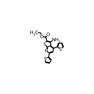 CCOC(=O)c1sc2nc(-c3cccs3)cc(-c3cccs3)c2c1N